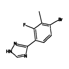 Cc1c(Br)ccc(-c2nc[nH]n2)c1F